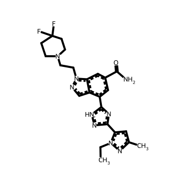 CCn1nc(C)cc1-c1n[nH]c(-c2cc(C(N)=O)cc3c2cnn3CCN2CCC(F)(F)CC2)n1